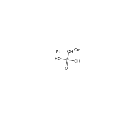 O=P(O)(O)O.[Co].[Pt]